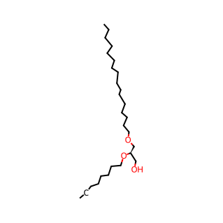 CCCCCCCCCCCCCCCCOC[C@@H](CO)OCCCCCCCC